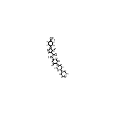 Cc1cc(NC(=O)c2cnn(-c3ccc(C(F)(F)F)cc3)c2C)ccc1N1CCC(N2CCOCC2)CC1